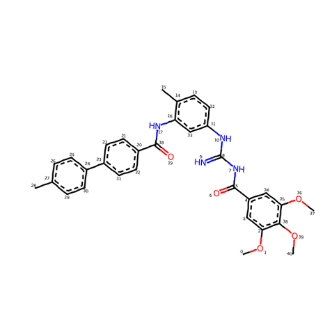 COc1cc(C(=O)NC(=N)Nc2ccc(C)c(NC(=O)c3ccc(-c4ccc(C)cc4)cc3)c2)cc(OC)c1OC